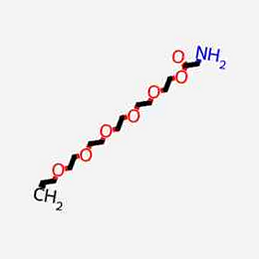 C=CCOCCOCCOCCOCCOCCOC(=O)CN